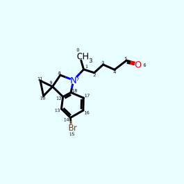 CC(CCCC=O)N1CC2(CC2)c2cc(Br)ccc21